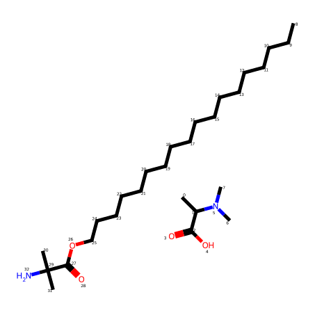 CC(C(=O)O)N(C)C.CCCCCCCCCCCCCCCCCCOC(=O)C(C)(C)N